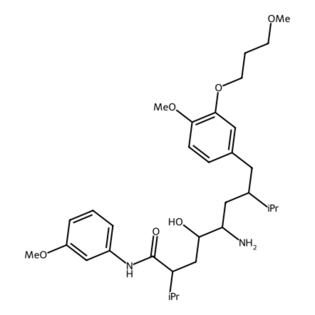 COCCCOc1cc(CC(CC(N)C(O)CC(C(=O)Nc2cccc(OC)c2)C(C)C)C(C)C)ccc1OC